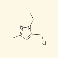 CCn1nc(C)cc1CCl